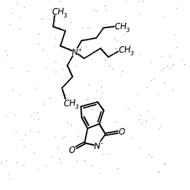 CCCC[N+](CCCC)(CCCC)CCCC.O=C1[N-]C(=O)c2ccccc21